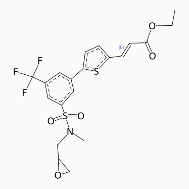 CCOC(=O)/C=C/c1ccc(-c2cc(C(F)(F)F)cc(S(=O)(=O)N(C)CC3CO3)c2)s1